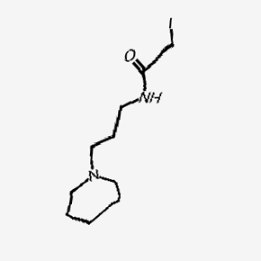 O=C(CI)NCCCN1CCCCC1